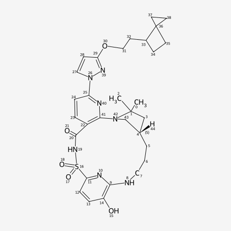 CC1(C)C[C@@H]2CCCNc3nc(ccc3O)S(=O)(=O)NC(=O)c3ccc(-n4ccc(OCCC5CCC56CC6)n4)nc3N1C2